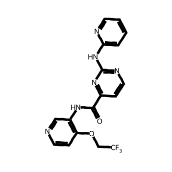 O=C(Nc1cnccc1OCC(F)(F)F)c1ccnc(Nc2ccccn2)n1